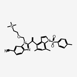 C=C(c1c(C)cc(C)c2c1ccn2S(=O)(=O)c1ccc(C)cc1)c1nc2ccc(C#N)cc2n1COCC[Si](C)(C)C